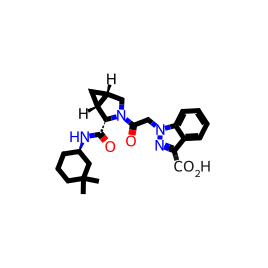 CC1(C)CCC[C@@H](NC(=O)[C@@H]2[C@@H]3C[C@@H]3CN2C(=O)Cn2nc(C(=O)O)c3ccccc32)C1